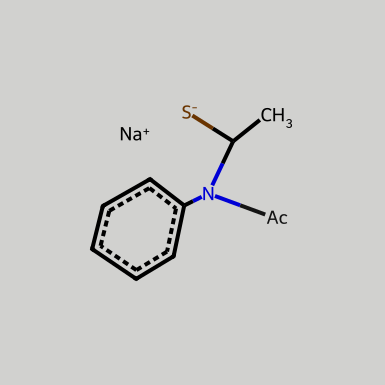 CC(=O)N(c1ccccc1)C(C)[S-].[Na+]